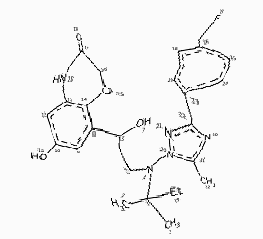 CCC(C)(C)N(CC(O)c1cc(O)cc2c1OCC(=O)N2)n1nc(-c2ccc(F)cc2)nc1C